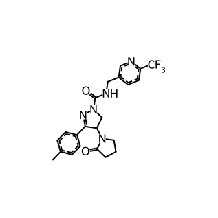 Cc1ccc(C2=NN(C(=O)NCc3ccc(C(F)(F)F)nc3)CC2N2CCCC2=O)cc1